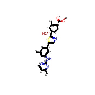 COC(=O)[C@@H]1CC[C@@](O)(c2ncc(-c3cc(C)cc(Nc4nccc(C)n4)c3)s2)C[C@H]1C